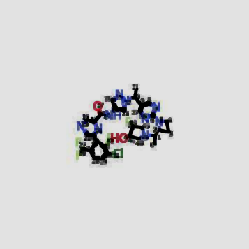 CC([C@@H]1CCN1c1ncc(C(C)n2cc(NC(=O)c3cncc(-c4c(C(F)F)ccc(Cl)c4F)n3)cn2)cn1)N1C[C@@H](O)[C@H](F)C1